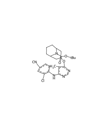 [C-]#[N+]c1ccc(Nc2ncnc(OC3CC4CCCC(C3)N4C(=O)OC(C)(C)C)c2C)c(Cl)c1